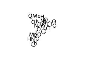 COCCOc1nc(NS(=O)(=O)c2ccc3c(c2)OCO3)c(Oc2cc(OC)ccc2Cl)c(OCCOC(=O)Nc2ccccn2)n1